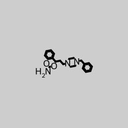 NC(=O)OC(CCN1CCN(Cc2ccccc2)CC1)c1ccccc1